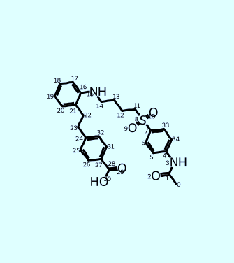 CC(=O)Nc1ccc(S(=O)(=O)CCCCNc2ccccc2CCc2ccc(C(=O)O)cc2)cc1